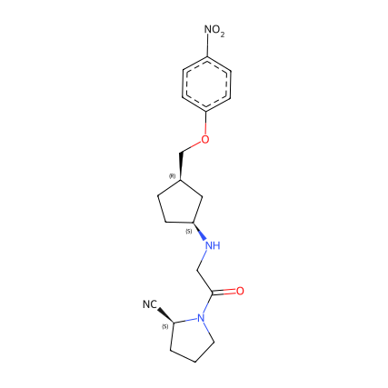 N#C[C@@H]1CCCN1C(=O)CN[C@H]1CC[C@@H](COc2ccc([N+](=O)[O-])cc2)C1